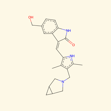 Cc1[nH]c(C=C2C(=O)Nc3ccc(CO)cc32)c(C)c1CN1CC2CC2C1